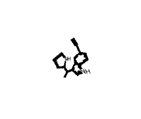 C#Cc1ccc2[nH]cc(C(C)C3CCCN3)c2c1